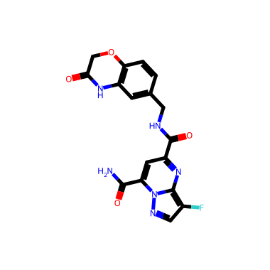 NC(=O)c1cc(C(=O)NCc2ccc3c(c2)NC(=O)CO3)nc2c(F)cnn12